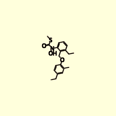 CCc1ccc(OCc2c(CC)cccc2N(O)C(=O)SC)c(C)c1